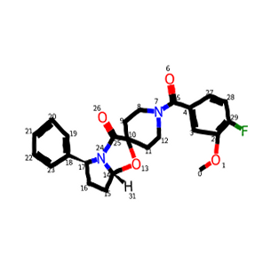 COc1cc(C(=O)N2CCC3(CC2)O[C@@H]2CC[C@@H](c4ccccc4)N2C3=O)ccc1F